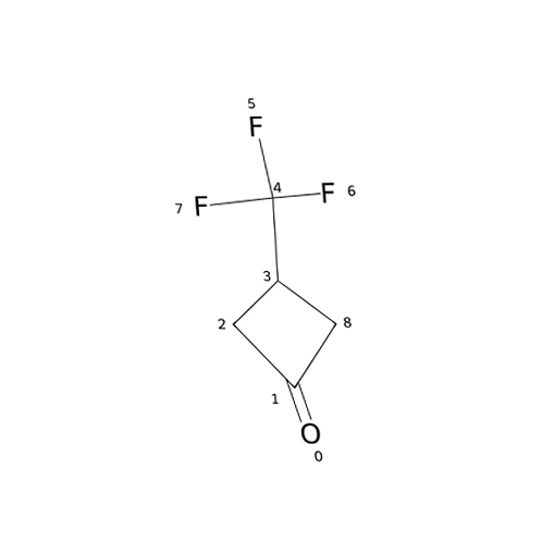 O=C1CC(C(F)(F)F)C1